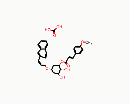 COc1ccc(/C=C/C(=O)O[C@@H]2C[C@@H](OC/C=C\c3ccc4ccccc4c3)C[C@H](O)[C@H]2O)cc1.O=C(O)O